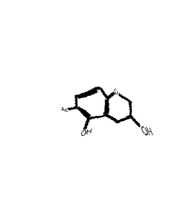 CC(=O)c1ccc2c(c1O)CC(O)CO2